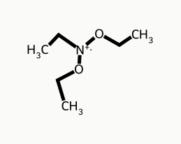 CCO[N+](CC)OCC